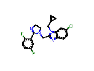 Fc1ccc(F)c(C2=NCCN2Cc2nc3ccc(Cl)cc3n2CC2CC2)c1